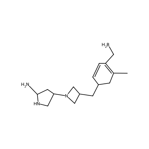 BCC1=C(C)CC(CC2CN(C3CNC(N)C3)C2)C=C1